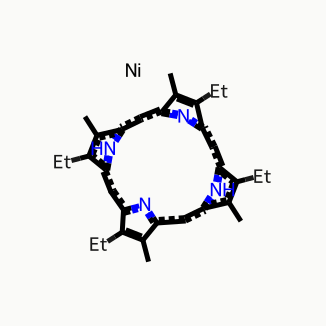 CCC1=C(C)c2cc3[nH]c(cc4nc(cc5[nH]c(cc1n2)c(CC)c5C)C(C)=C4CC)c(CC)c3C.[Ni]